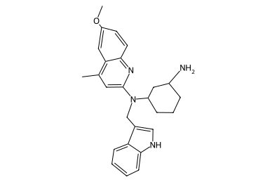 COc1ccc2nc(N(Cc3c[nH]c4ccccc34)C3CCCC(N)C3)cc(C)c2c1